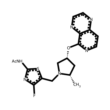 CC(=O)Nc1nc(F)c(CN2C[C@H](Oc3nccc4nccnc34)C[C@@H]2C)s1